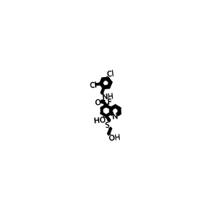 O=C(NCc1ccc(Cl)cc1Cl)[C@]1(F)CC[C@@](O)(CSCCO)c2ncccc21